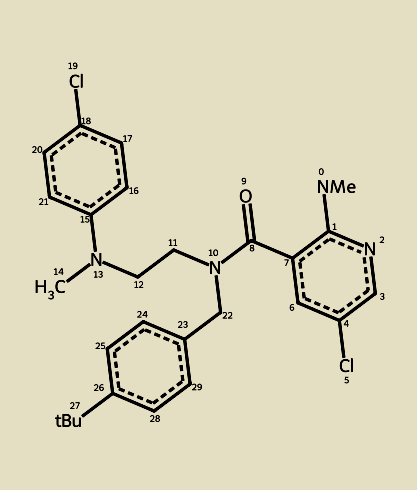 CNc1ncc(Cl)cc1C(=O)N(CCN(C)c1ccc(Cl)cc1)Cc1ccc(C(C)(C)C)cc1